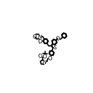 COc1cc(Cc2c(-c3ccc(OCCN4CCCC4C(=O)OC(C)(C)C)cc3)sc3cc(OCc4ccccc4)ccc23)ccc1CN1CCOCC1